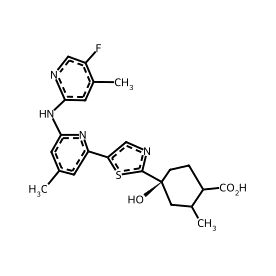 Cc1cc(Nc2cc(C)c(F)cn2)nc(-c2cnc([C@]3(O)CCC(C(=O)O)C(C)C3)s2)c1